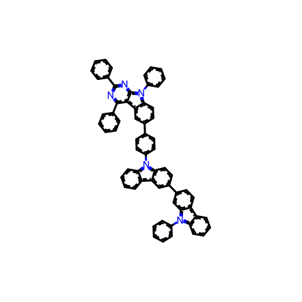 c1ccc(-c2nc(-c3ccccc3)c3c4cc(-c5ccc(-n6c7ccccc7c7cc(-c8ccc9c%10ccccc%10n(-c%10ccccc%10)c9c8)ccc76)cc5)ccc4n(-c4ccccc4)c3n2)cc1